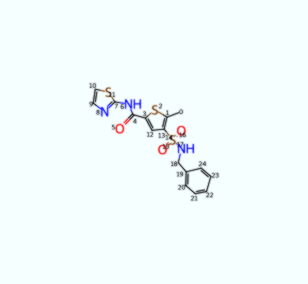 Cc1sc(C(=O)Nc2nccs2)cc1S(=O)(=O)NCc1ccccc1